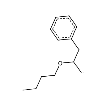 [CH2]C(Cc1ccccc1)OCCCC